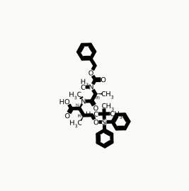 C[C@H](C(=O)N(C)[C@H](C(=O)O)[C@@H](C)CO[Si](c1ccccc1)(c1ccccc1)C(C)(C)C)N(C)C(=O)OCc1ccccc1